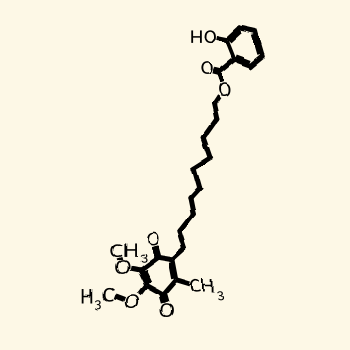 COC1=C(OC)C(=O)C(CCCCCCCCCCOC(=O)c2ccccc2O)=C(C)C1=O